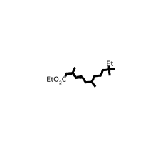 CCOC(=O)C=C(C)C=CCC(C)CCCC(C)(C)CC